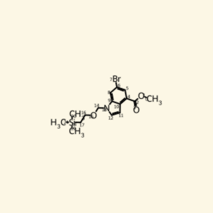 COC(=O)c1cc(Br)cc2c1ccn2COCC[Si](C)(C)C